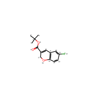 CC(C)(C)OC(=O)C1=Cc2cc(F)ccc2OC1